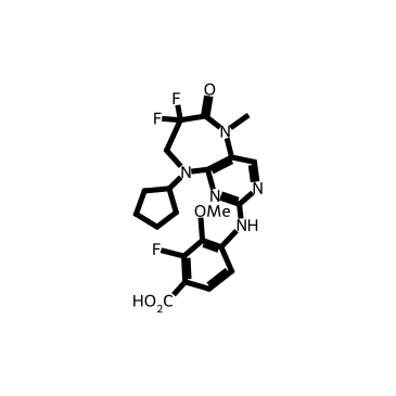 COc1c(Nc2ncc3c(n2)N(C2CCCC2)CC(F)(F)C(=O)N3C)ccc(C(=O)O)c1F